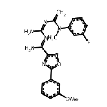 C=C(/N=C(N)\N=C(/N)c1noc(-c2cccc(OC)c2)n1)N(C)c1cccc(F)c1